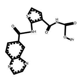 CC(C)OC(=O)NC(=O)c1ccsc1NC(=O)c1ccc2nccnc2c1